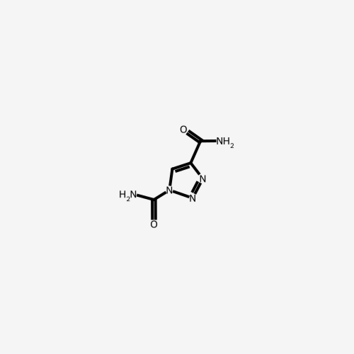 NC(=O)c1cn(C(N)=O)nn1